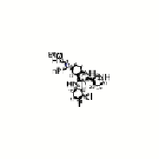 CCC/C(=C\NOCC)[C@@H]1CCC2=C(C1)C(N[C@H]1CCC(F)=C(Cl)C1)NC(C1=CCCNC1)N2